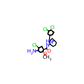 COc1cc(N)c(Cl)cc1C(=O)NC12CCCC(CC1)N2Cc1ccc(Cl)c(Cl)c1